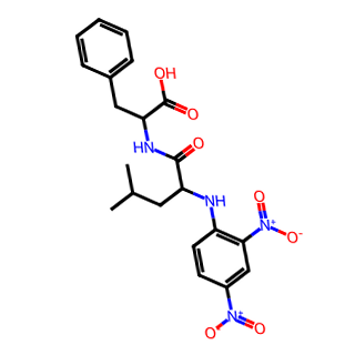 CC(C)CC(Nc1ccc([N+](=O)[O-])cc1[N+](=O)[O-])C(=O)NC(Cc1ccccc1)C(=O)O